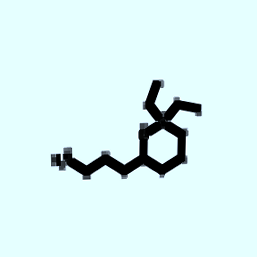 CC[Si]1(CC)CCCC(CCCN)O1